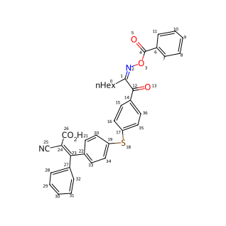 CCCCCCC(=NOC(=O)c1ccccc1)C(=O)c1ccc(Sc2ccc(C(=C(C#N)C(=O)O)c3ccccc3)cc2)cc1